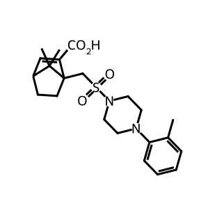 Cc1ccccc1N1CCN(S(=O)(=O)CC23CCC(C=C2C(=O)O)C3(C)C)CC1